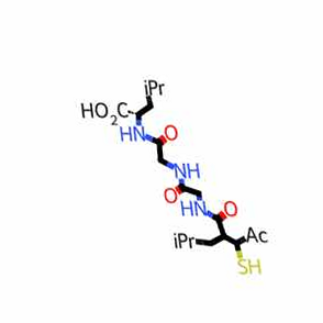 CC(=O)C(S)C(CC(C)C)C(=O)NCC(=O)NCC(=O)N[C@@H](CC(C)C)C(=O)O